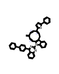 C=C1/C=C\C(c2ccc(-c3ccccc3)s2)=C/Cc2c(n(-c3nc(-c4ccc(-c5ccccc5)cc4)c4ccccc4n3)c3ccccc23)/C=C\1